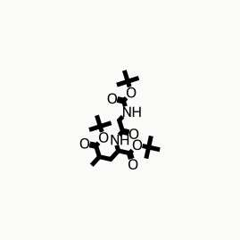 CC(CC(NC(=O)CNC(=O)OC(C)(C)C)C(=O)OC(C)(C)C)C(=O)OC(C)(C)C